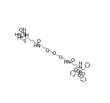 O=C(CCCCC1SC[C@@H]2NC(=O)N[C@H]12)NCCCOCCOCCOCCCNC(=O)CCC(=O)NC(Cc1ccccc1)P(=O)(Oc1ccccc1)Oc1ccccc1